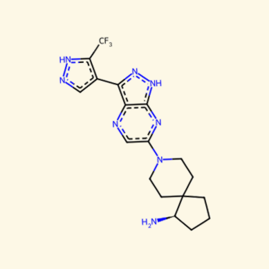 N[C@@H]1CCCC12CCN(c1cnc3c(-c4cn[nH]c4C(F)(F)F)n[nH]c3n1)CC2